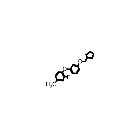 Cc1ccc(Oc2cccc(OCC3CCCC3)c2)c(F)c1